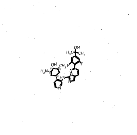 C[C@H]1C[C@@H](c2ccncc2Nc2ncc3ccc(-c4c(F)cc(C(C)(C)O)cc4F)nn23)C[C@@H](N)[C@@H]1O